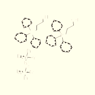 CCCC[P+](c1ccccc1)(c1ccccc1)c1ccccc1.CCCC[P+](c1ccccc1)(c1ccccc1)c1ccccc1.[Br][Mn-]([Br])([Br])[Br].[Br][Mn-]([Br])([Br])[Br]